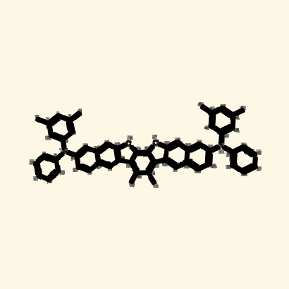 Cc1cc(C)cc(N(c2ccccc2)c2ccc3cc4c(cc3c2)oc2c3oc5cc6cc(N(c7ccccc7)c7cc(C)cc(C)c7)ccc6cc5c3c(C)c(C)c42)c1